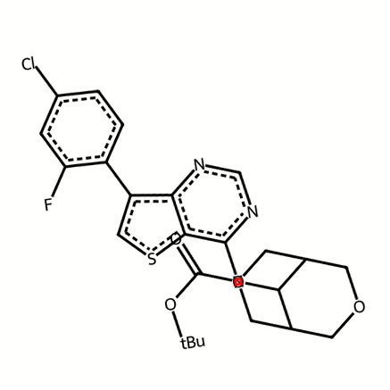 CC(C)(C)OC(=O)N1CC2COCC(C1)C2Oc1ncnc2c(-c3ccc(Cl)cc3F)csc12